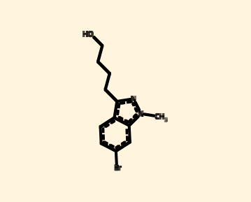 Cn1nc(CCCCO)c2ccc(Br)cc21